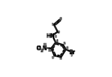 C=CCNc1cc(Br)ccc1[N+](=O)[O-]